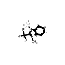 Cn1c(C(F)(F)F)[n+](C)c2ccccc21.[F-]